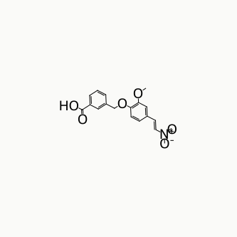 COc1cc(C=C[N+](=O)[O-])ccc1OCc1cccc(C(=O)O)c1